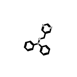 c1ccc(B(OCc2cncnc2)c2ccccc2)cc1